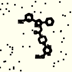 COc1cc(N2CCN(C(=O)Cn3nc(-c4cccc(C#N)c4)cc3-c3ccccc3)CC2)ncn1